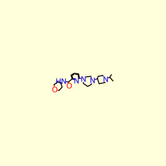 CC(C)N1CCC(N2CCCN(c3cccc(C(=O)NC4CCOCC4)n3)CC2)CC1